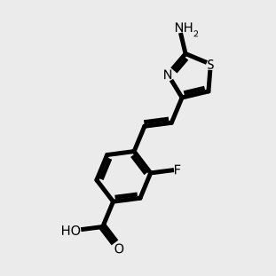 Nc1nc(C=Cc2ccc(C(=O)O)cc2F)cs1